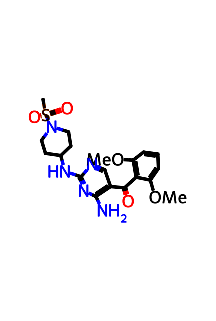 COc1cccc(OC)c1C(=O)c1cnc(NC2CCN(S(C)(=O)=O)CC2)nc1N